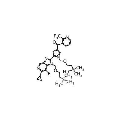 C[Si](C)(C)CCOCn1cc(C(=O)c2cccnc2C(F)(F)F)cc1-c1nc2cnc(C3CC3)c(F)c2n1COCC[Si](C)(C)C